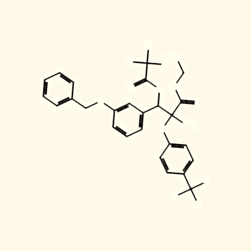 CCOC(=O)C(C)(Oc1ccc(C(F)(F)F)cc1)C(OC(=O)C(F)(F)F)c1cccc(OCc2ccccc2)c1